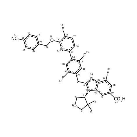 CC1(C)COC[C@H]1n1c(Cc2cc(F)c(-c3ccc(F)c(OCc4ccc(C#N)cc4)n3)cc2F)nc2c(F)cc(C(=O)O)cc21